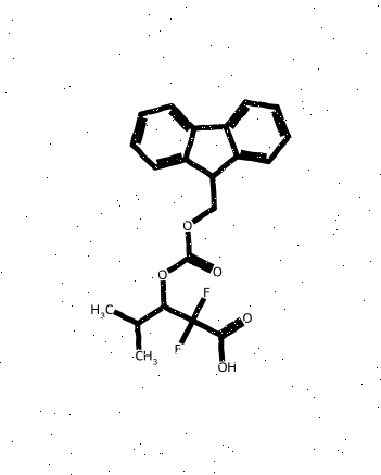 CC(C)C(OC(=O)OCC1c2ccccc2-c2ccccc21)C(F)(F)C(=O)O